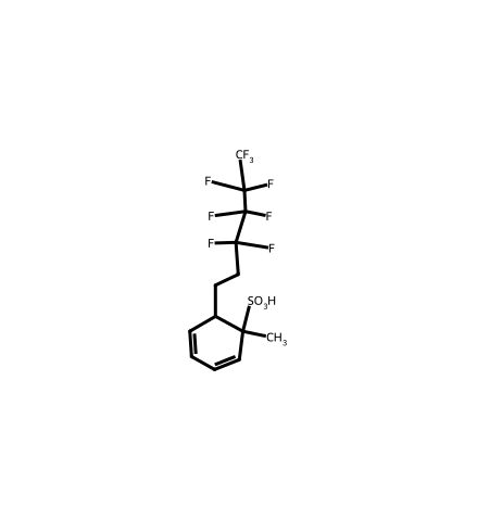 CC1(S(=O)(=O)O)C=CC=CC1CCC(F)(F)C(F)(F)C(F)(F)C(F)(F)F